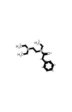 CCN(CC)CCN(CC)C(=O)Cc1ccccc1